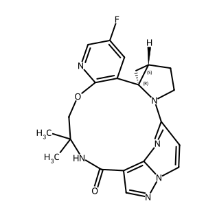 CC1(C)COc2ncc(F)cc2[C@@]23C[C@@H]2CCN3c2ccn3ncc(c3n2)C(=O)N1